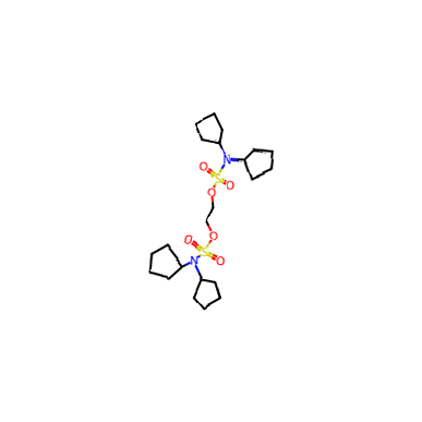 O=S(=O)(OCCOS(=O)(=O)N(C1CCCC1)C1CCCC1)N(C1CCCC1)C1CCCC1